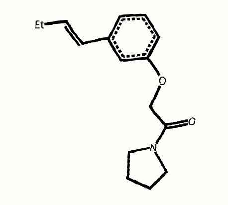 [CH2]C/C=C/c1cccc(OCC(=O)N2CCCC2)c1